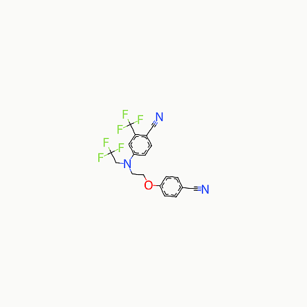 N#Cc1ccc(OCCN(CC(F)(F)F)c2ccc(C#N)c(C(F)(F)F)c2)cc1